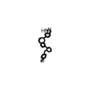 COc1ccc(CC2CC=CC=C2c2ccc3c(c2)CC(c2ccc4cn[nH]c4c2)C=C=C=C3)cc1